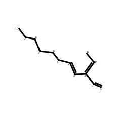 C=CC(C=CCCCCCC)=CC